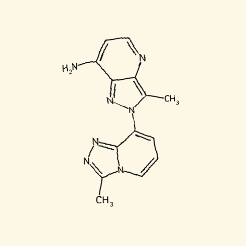 Cc1c2nccc(N)c2nn1-c1cccn2c(C)nnc12